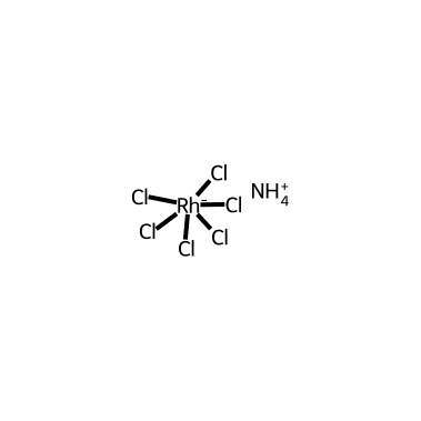 [Cl][Rh-]([Cl])([Cl])([Cl])([Cl])[Cl].[NH4+]